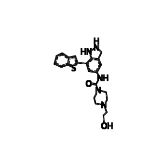 O=C(Nc1cc2c(c(-c3cc4ccccc4s3)c1)NNC2)N1CCN(CCO)CC1